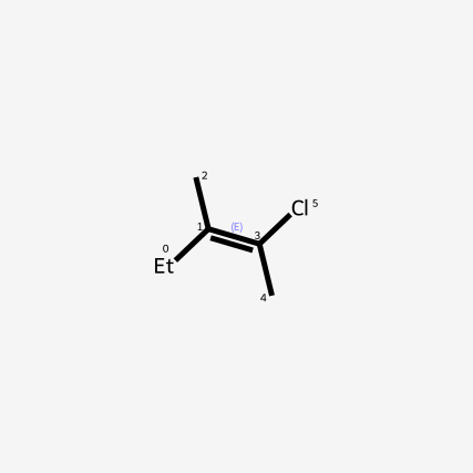 CC/C(C)=C(\C)Cl